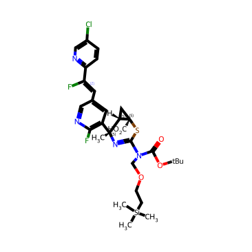 CC(C)(C)OC(=O)N(COCC[Si](C)(C)C)C1=N[C@](C)(c2cc(/C=C(\F)c3ccc(Cl)cn3)cnc2F)[C@@H]2C[C@]2(C(=O)O)S1